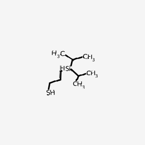 CC(C)[SiH](CCCS)C(C)C